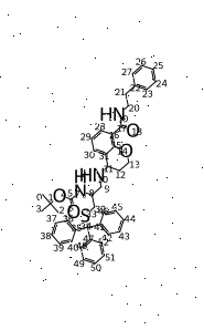 CC(C)(C)OC(=O)NC(CNC1CCOc2c(C(=O)NCCc3ccccc3)cccc21)CSC(c1ccccc1)(c1ccccc1)c1ccccc1